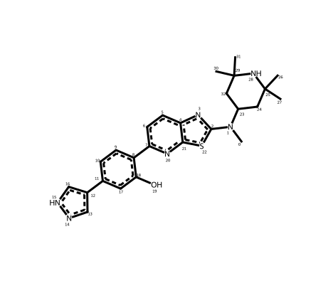 CN(c1nc2ccc(-c3ccc(-c4cn[nH]c4)cc3O)nc2s1)C1CC(C)(C)NC(C)(C)C1